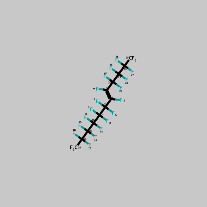 FC(=C(F)C(F)(F)C(F)(F)C(F)(F)C(F)(F)C(F)(F)C(F)(F)F)C(F)(F)C(F)(F)C(F)(F)C(F)(F)F